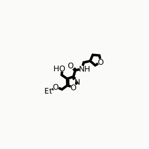 CCOCc1onc(C(=O)NCC2CCOC2)c1CO